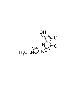 CCn1cc(Nc2nc(Cl)c3c(Cl)cn(CO)c3n2)cn1